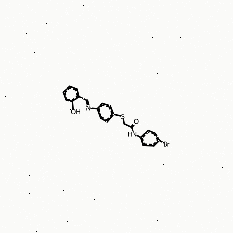 O=C(CSc1ccc(/N=C/c2ccccc2O)cc1)Nc1ccc(Br)cc1